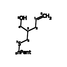 C=CCC(CO)CSCCCCC